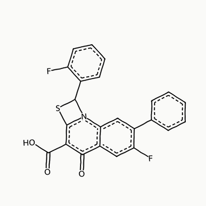 O=C(O)c1c2n(c3cc(-c4ccccc4)c(F)cc3c1=O)C(c1ccccc1F)S2